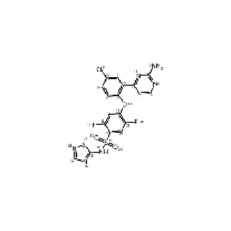 Nc1nccc(-c2cc(Cl)ccc2Oc2cc(F)c(S(=O)(=O)Nc3ncns3)cc2F)n1